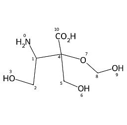 NC(CO)C(CO)(OCO)C(=O)O